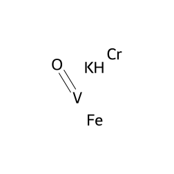 [Cr].[Fe].[KH].[O]=[V]